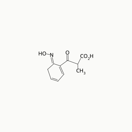 CC(C(=O)O)C(=O)C1=CC=CCC1=NO